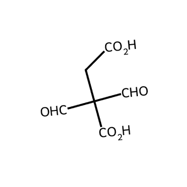 O=CC(C=O)(CC(=O)O)C(=O)O